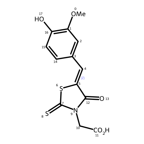 COc1cc(/C=C2\SC(=S)N(CC(=O)O)C2=O)ccc1O